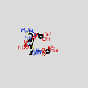 Cc1cc(SCC2=C(OC(=O)O)N3C(=O)[C@@H](NC(=O)/C(=N\OCc4ccc(O)c(O)c4)c4csc(N)n4)[C@H]3SC2)n2nc(CNS(=O)(=O)c3ccc(O)c(O)c3)nc2n1